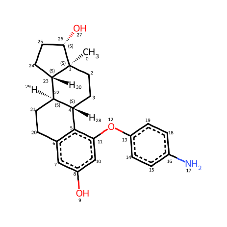 C[C@]12CC[C@@H]3c4c(cc(O)cc4Oc4ccc(N)cc4)CC[C@H]3[C@@H]1CC[C@@H]2O